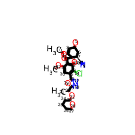 COC1=CC(=O)C[C@@H](C#N)[C@]12Oc1c(Cl)c(-c3nnc([C@H](C)OC4CCCCO4)o3)cc(OC)c1C2=O